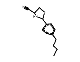 CCCCc1ccc(C2NC(C#N)CS2)cc1